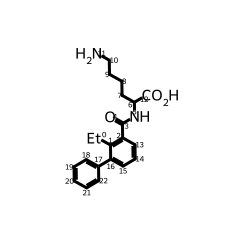 CCc1c(C(=O)NC(CCCCN)C(=O)O)cccc1-c1ccccc1